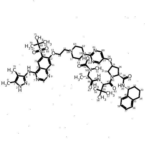 Cc1[nH]nc(Nc2ncnc3cc(OCCN4CCN(c5ncc(O[C@H]6C[C@@H](C(=O)N[C@@H]7CCCc8ccccc87)N(C(=O)[C@@H](NC(=O)[C@H](C)N(C)C(=O)O)C(C)(C)C)C6)cn5)CC4)c(S(=O)(=O)C(C)(C)C)cc23)c1C